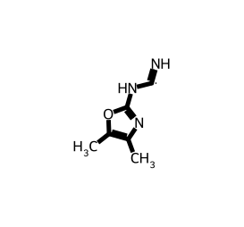 Cc1nc(N[C]=N)oc1C